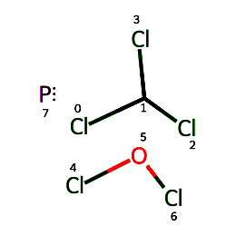 ClC(Cl)Cl.ClOCl.[P]